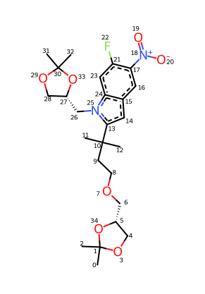 CC1(C)OC[C@@H](COCCC(C)(C)c2cc3cc([N+](=O)[O-])c(F)cc3n2C[C@@H]2COC(C)(C)O2)O1